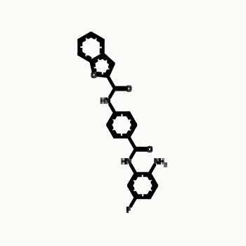 Nc1ccc(F)cc1NC(=O)c1ccc(NC(=O)c2cc3ccccc3o2)cc1